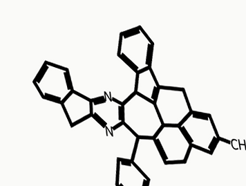 Cc1cc2c3c(c1)CC1=C4C3C(=CC2)C(c2ccccc2)c2nc3c(nc2C4c2ccccc21)-c1ccccc1C3